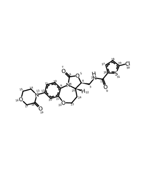 O=C(NC[C@@H]1OC(=O)N2c3ccc(N4CCOCC4=O)cc3OCC[C@@H]12)c1ccc(Cl)s1